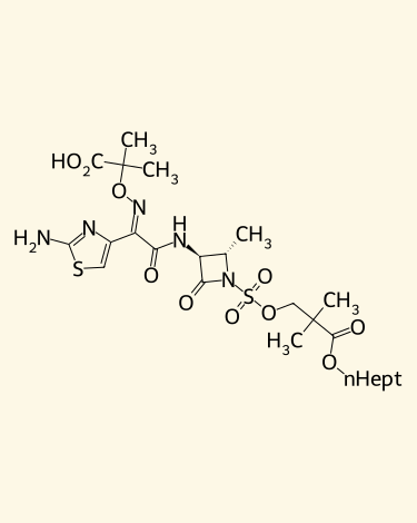 CCCCCCCOC(=O)C(C)(C)COS(=O)(=O)N1C(=O)[C@@H](NC(=O)/C(=N/OC(C)(C)C(=O)O)c2csc(N)n2)[C@@H]1C